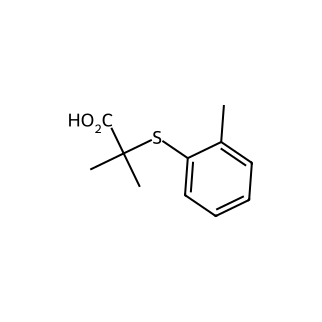 Cc1ccccc1SC(C)(C)C(=O)O